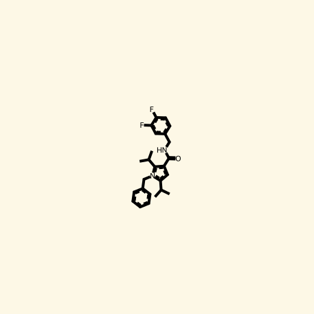 CC(C)c1cc(C(=O)NCc2ccc(F)c(F)c2)c(C(C)C)n1Cc1ccccc1